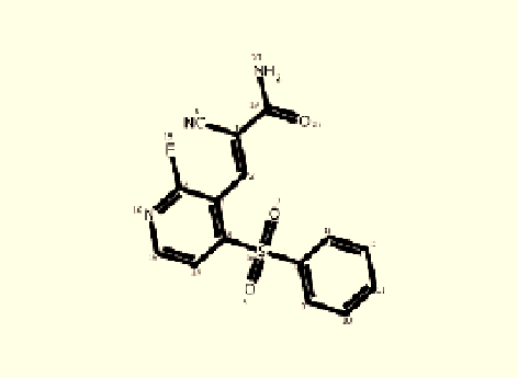 N#CC(=Cc1c(S(=O)(=O)c2ccccc2)ccnc1F)C(N)=O